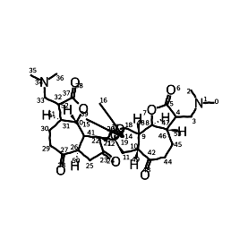 CN(C)CC1C(=O)O[C@@H]2[C@@H]3[C@@H](C[C@@]45OC(C)(C)O[C@@]34CCC[C@]53C(=O)C[C@H]4C(=O)CC[C@H]5C(CN(C)C)C(=O)O[C@@H]5C43)C(=O)CC[C@@H]12